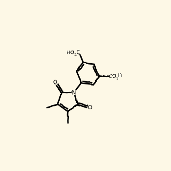 CC1=C(C)C(=O)N(c2cc(C(=O)O)cc(C(=O)O)c2)C1=O